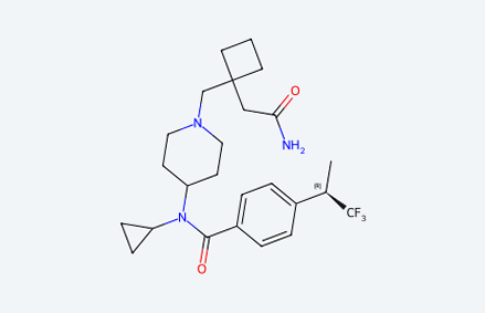 C[C@H](c1ccc(C(=O)N(C2CC2)C2CCN(CC3(CC(N)=O)CCC3)CC2)cc1)C(F)(F)F